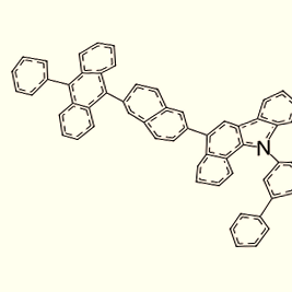 c1ccc(-c2cccc(-n3c4ccccc4c4cc(-c5ccc6cc(-c7c8ccccc8c(-c8ccccc8)c8ccccc78)ccc6c5)c5ccccc5c43)c2)cc1